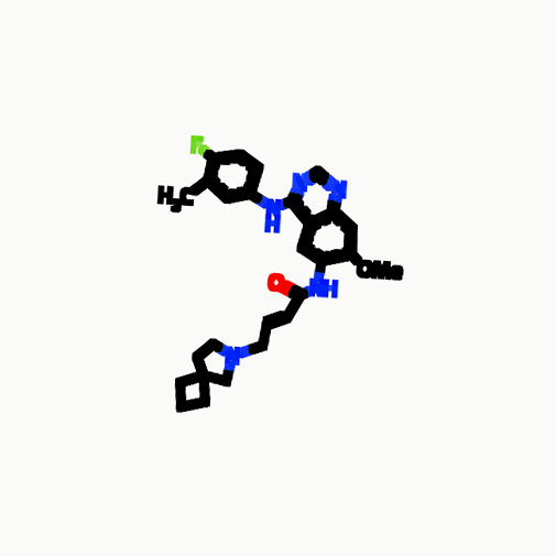 COc1cc2ncnc(Nc3ccc(F)c(C)c3)c2cc1NC(=O)/C=C/CN1CCC2(CCC2)C1